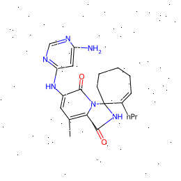 CCCC1=CCCCCC12NC(=O)c1c(C)cc(Nc3cc(N)ncn3)c(=O)n12